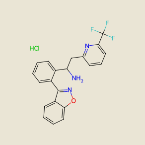 Cl.NC(Cc1cccc(C(F)(F)F)n1)c1ccccc1-c1noc2ccccc12